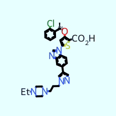 CCN1CCN(CCCn2cc(-c3ccc4c(c3)ncn4-c3cc(O[C@H](C)c4ccccc4Cl)c(C(=O)O)s3)cn2)CC1